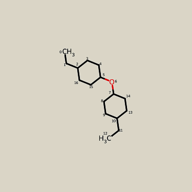 CCC1CCC(OC2CCC(CC)CC2)CC1